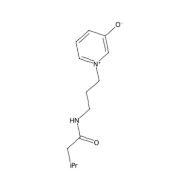 CC(C)CC(=O)NCCC[n+]1cccc([O-])c1